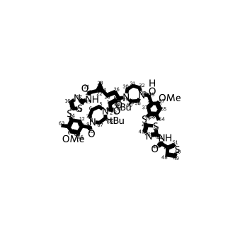 C=CC(=O)N1CCCN(C(=O)c2cc(Sc3cnc(NC(=O)C4CC4/C=C/C(=O)N4CCCN(C(O)c5cc(Sc6cnc(NC(=O)c7ccsc7)s6)c(C)cc5OC)C[C@H]4C(C)(C)C)s3)c(C)cc2OC)C[C@H]1C(C)(C)C